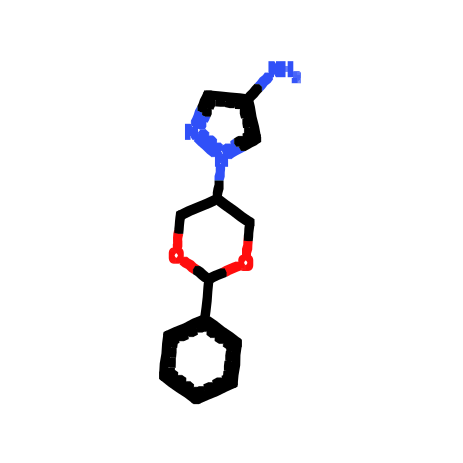 Nc1cnn(C2COC(c3ccccc3)OC2)c1